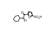 CCN(C(=O)c1ccc(S(=O)(=O)O)o1)C1CCCCC1